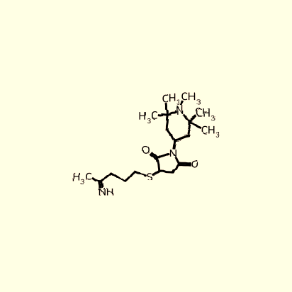 CC(=N)CCCSC1CC(=O)N(C2CC(C)(C)N(C)C(C)(C)C2)C1=O